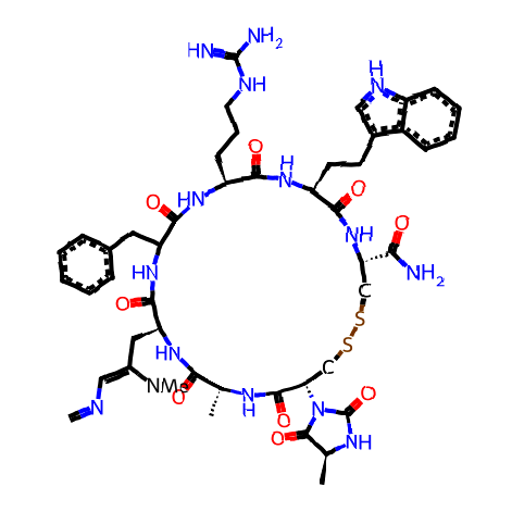 C=N/C=C(/C[C@@H]1NC(=O)[C@@H](C)NC(=O)[C@@H](N2C(=O)N[C@@H](C)C2=O)CSSC[C@@H](C(N)=O)NC(=O)[C@H](CCc2c[nH]c3ccccc23)NC(=O)[C@H](CCCNC(=N)N)NC(=O)C(Cc2ccccc2)NC1=O)NC